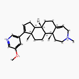 COc1cncc(C2=CCC3[C@@H]4CCC5=CCN(C)CC[C@]5(C)C4CC[C@]23C)c1